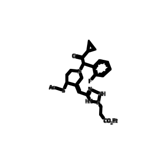 CCOC(=O)CCN1NN=C(/C=C2\CN(C(C(=O)C3CC3)c3ccccc3F)CCC2SC(C)=O)N1